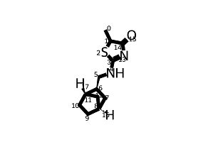 CC1SC(NC[C@H]2C[C@H]3CC[C@H]2C3)=NC1=O